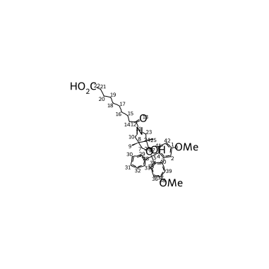 COc1ccc(C(OC[C@]2(C)CN(C(=O)CCCCCCCCC(=O)O)C[C@]2(C)CO)(c2ccccc2)c2ccc(OC)cc2)cc1